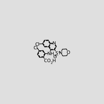 O=C(O)c1ccc(Cl)cc1Nc1c([S+]([O-])N2CCOCC2)cnc2ccc(Cl)cc12